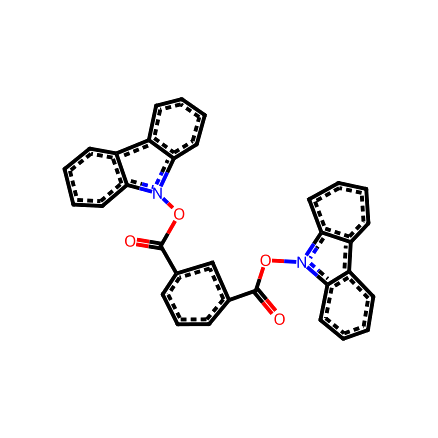 O=C(On1c2ccccc2c2ccccc21)c1cccc(C(=O)On2c3ccccc3c3ccccc32)c1